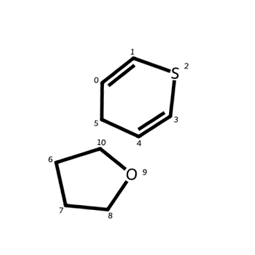 C1=CSC=CC1.C1CCOC1